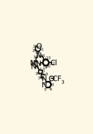 FC(F)(F)Oc1cccnc1N1CC2(CC(c3nnc4n3-c3ccc(Cl)cc3CN([C@H]3CCOC3)C4)C2)C1